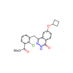 COC(=O)c1cccc(Cc2n[nH]c(=O)c3ccc(OC4CCC4)cc23)c1Cl